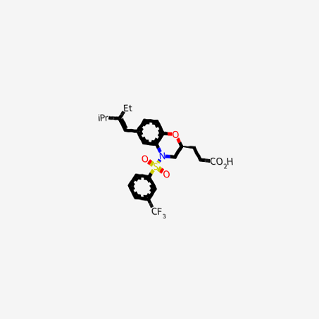 CC/C(=C\c1ccc2c(c1)N(S(=O)(=O)c1cccc(C(F)(F)F)c1)C[C@H](CCC(=O)O)O2)C(C)C